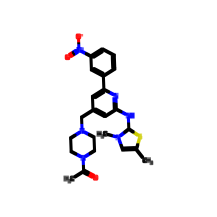 CC(=O)N1CCN(Cc2cc(NC3SC(C)=CN3C)nc(-c3cccc([N+](=O)[O-])c3)c2)CC1